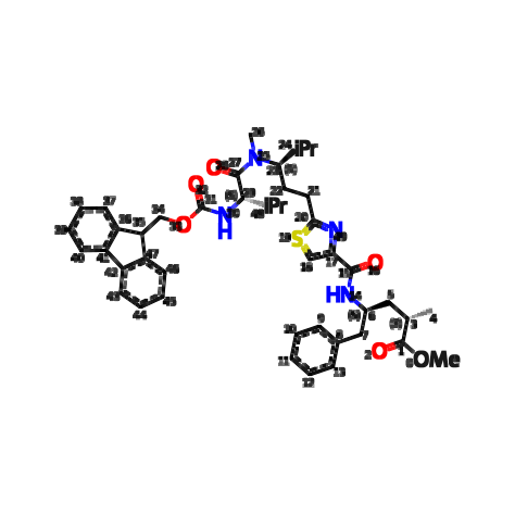 COC(=O)[C@@H](C)C[C@@H](Cc1ccccc1)NC(=O)c1csc(CC[C@H](C(C)C)N(C)C(=O)[C@@H](NC(=O)OCC2c3ccccc3-c3ccccc32)C(C)C)n1